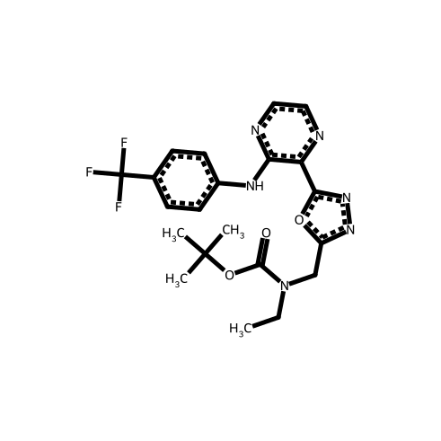 CCN(Cc1nnc(-c2nccnc2Nc2ccc(C(F)(F)F)cc2)o1)C(=O)OC(C)(C)C